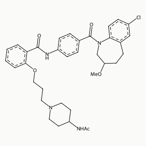 COC1CCc2cc(Cl)ccc2N(C(=O)c2ccc(NC(=O)c3ccccc3OCCCN3CCC(NC(C)=O)CC3)cc2)C1